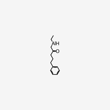 C[CH2][AlH][CH2]C(=O)CCCc1ccccc1